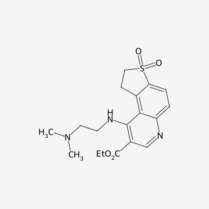 CCOC(=O)c1cnc2ccc3c(c2c1NCCN(C)C)CCS3(=O)=O